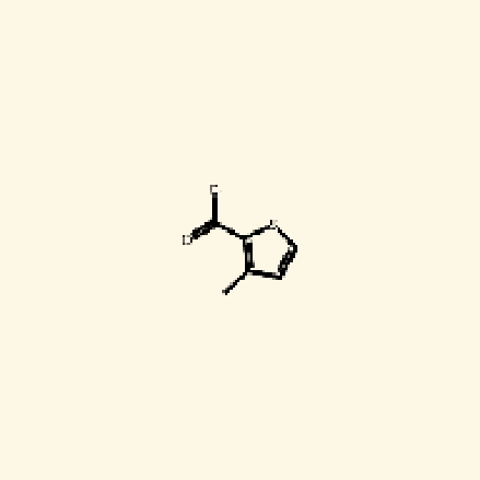 Cc1ccsc1C([O])=O